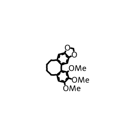 COc1cc2c(c(OC)c1OC)-c1cc3c(cc1CCCC2)OCO3